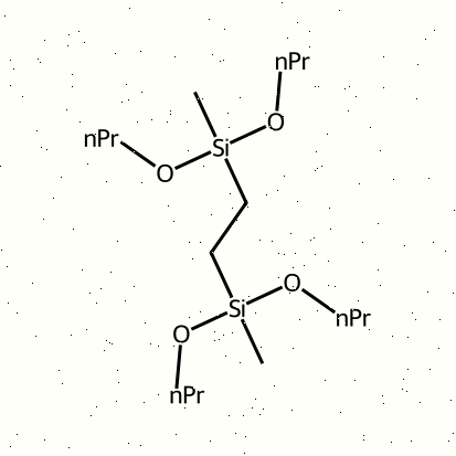 CCCO[Si](C)(CC[Si](C)(OCCC)OCCC)OCCC